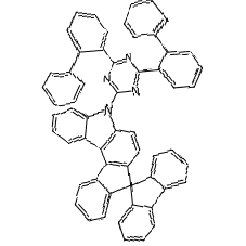 c1ccc(-c2ccccc2-c2nc(-c3ccccc3-c3ccccc3)nc(-n3c4ccccc4c4c5c(ccc43)C3(c4ccccc4-c4ccccc43)c3ccccc3-5)n2)cc1